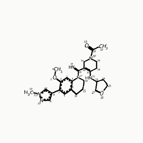 COc1cc2c(cc1-c1cnn(C)c1)CCCN2C(=N)C1=C(NC2CCOC2)CCN(C(C)=O)C1